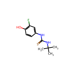 CC(C)(C)NC(=S)Nc1ccc(O)c(F)c1